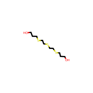 OCCCSCCSCCSCCCO